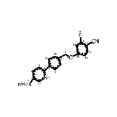 CCCCCCc1ccc(-c2ccc(COc3ccc(C#N)c(F)c3)cc2)nc1